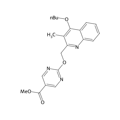 CCCCOc1c(C)c(COc2ncc(C(=O)OC)cn2)nc2ccccc12